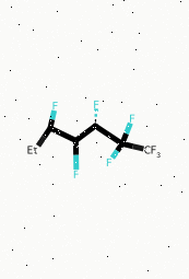 [CH2]CC(F)C(F)[C@H](F)C(F)(F)C(F)(F)F